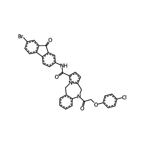 O=C1c2cc(Br)ccc2-c2ccc(NC(=O)c3ccc4n3Cc3ccccc3N(C(=O)COc3ccc(Cl)cc3)C4)cc21